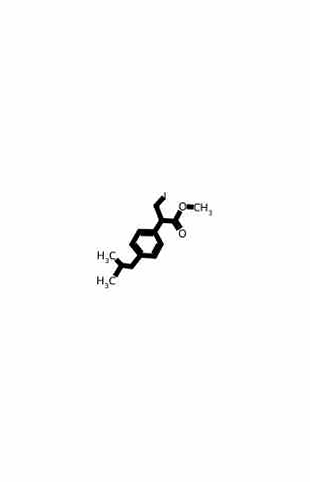 COC(=O)C(CI)c1ccc(CC(C)C)cc1